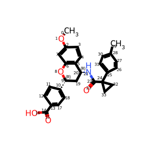 COc1ccc2c(c1)O[C@@H](c1ccc(C(=O)O)cc1)C[C@H]2NC(=O)C1(c2ccc(C)cc2)CC1